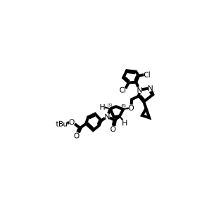 CC(C)(C)OC(=O)c1ccc(N2C(=O)[C@@H]3C[C@H]2C[C@H]3OCc2c(C3CC3)cnn2-c2c(Cl)cccc2Cl)cc1